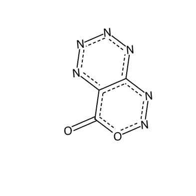 O=c1onnc2nnnnc12